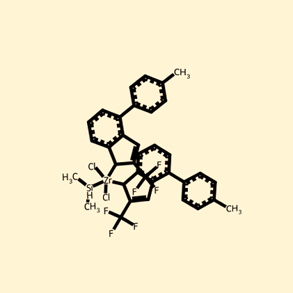 Cc1ccc(-c2cccc3c2C=C(C(F)(F)F)[CH]3[Zr]([Cl])([Cl])([CH]2C(C(F)(F)F)=Cc3c(-c4ccc(C)cc4)cccc32)[SiH](C)C)cc1